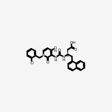 O=C(O)C[C@@H](Cc1cccc2ccccc12)NC(=O)Nc1c(O)ccn(Cc2ccccc2Cl)c1=O